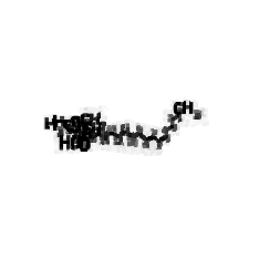 CCCCC/C=C\CCCCCCCCCCOP(=O)(O)C(CC)[N+](C)(C)C